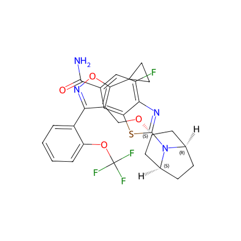 NC(=O)c1cc(F)c2nc(N3[C@@H]4CC[C@H]3C[C@H](OCc3c(-c5ccccc5OC(F)(F)F)noc3C3CC3)C4)sc2c1